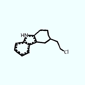 ClCCC1CCc2[nH]c3ccccc3c2C1